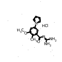 COc1cc(-n2cccc2)cc(C(=O)N=C(N)N)c1C.Cl